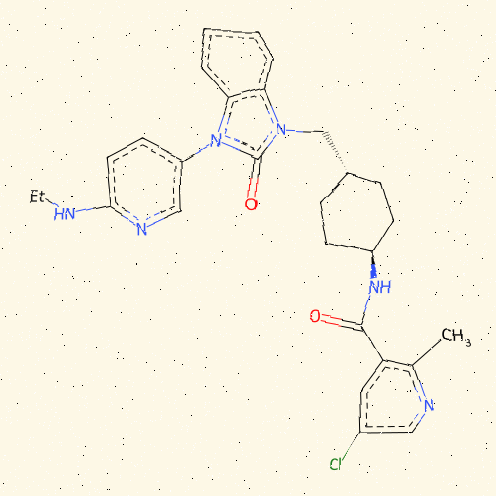 CCNc1ccc(-n2c(=O)n(C[C@H]3CC[C@H](NC(=O)c4cc(Cl)cnc4C)CC3)c3ccccc32)cn1